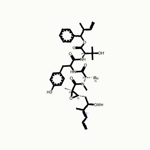 C=C/C=C(\C)C(C[C@@H]1O[C@@]1(C)C(=O)N(C)[C@H](C(=O)NC(Cc1ccc(O)cc1)C(=O)N[C@@H](C(=O)OC(c1ccccc1)C(C)C=C)C(C)(C)O)[C@@H](C)CC)OC